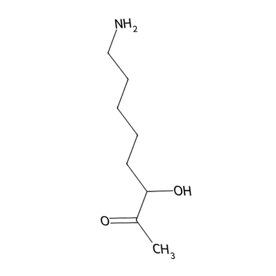 CC(=O)C(O)CCCCCN